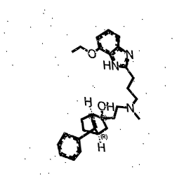 CCOc1cccc2nc(CCCN(C)CC[C@]3(O)C[C@H]4CC[C@@H]3C=C4c3ccccc3)[nH]c12